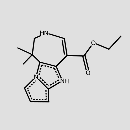 CCOC(=O)C1=CNCC(C)(C)c2c1[nH]c1cccn21